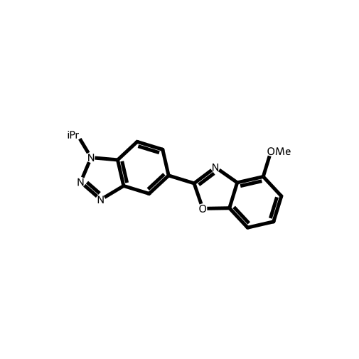 COc1cccc2oc(-c3ccc4c(c3)nnn4C(C)C)nc12